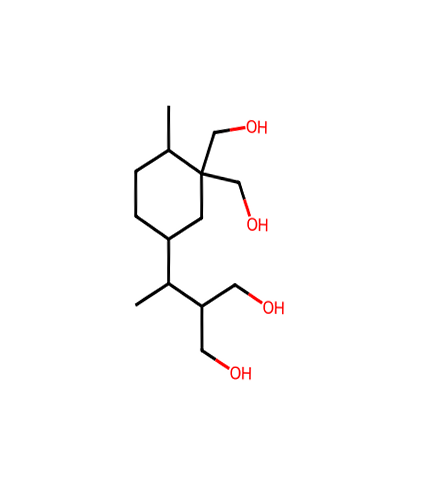 CC(C(CO)CO)C1CCC(C)C(CO)(CO)C1